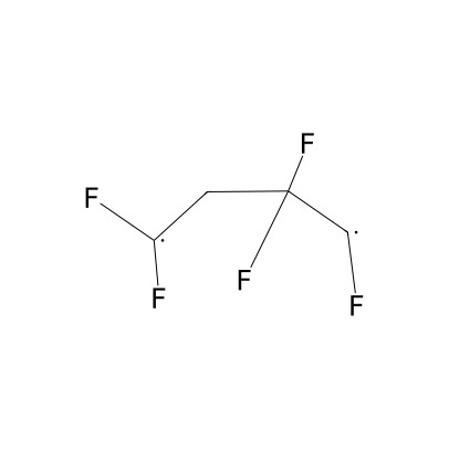 F[CH]C(F)(F)C[C](F)F